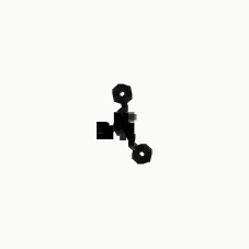 [Br-].c1ccc(CCn2cc[n+](CCc3ccccc3)c2)cc1